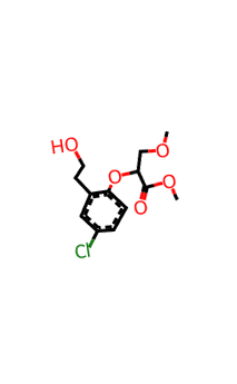 COCC(Oc1ccc(Cl)cc1CCO)C(=O)OC